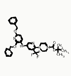 CC(C)(C)OC(=O)N1CCN(c2ncc(Nc3ccc(OCc4ccccc4)nc3OCc3ccccc3)cc2C(F)(F)F)CC1